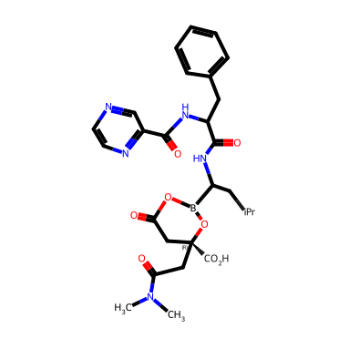 CC(C)CC(NC(=O)C(Cc1ccccc1)NC(=O)c1cnccn1)B1OC(=O)C[C@](CC(=O)N(C)C)(C(=O)O)O1